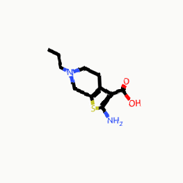 CCCN1CCc2c(sc(N)c2C(=O)O)C1